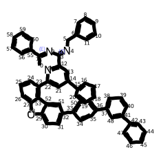 C/C(=N\C(=N/Cc1ccccc1)c1cc(-c2ccccc2)cc(-c2cccc3oc4ccc(-c5ccc(-c6cccc(-c7ccccc7)c6)cc5)cc4c23)n1)c1ccccc1